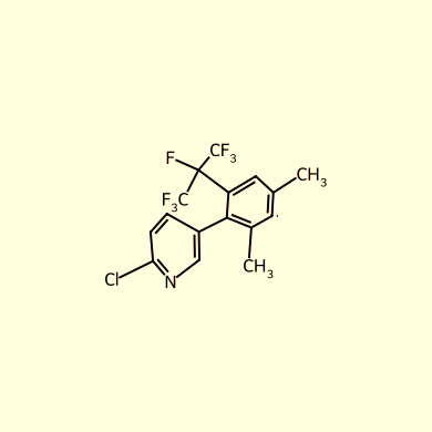 Cc1[c]c(C)c(-c2ccc(Cl)nc2)c(C(F)(C(F)(F)F)C(F)(F)F)c1